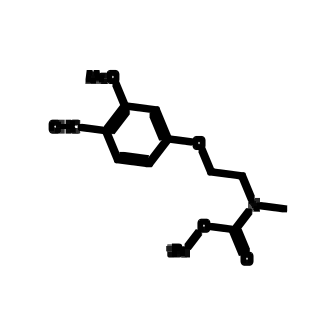 COc1cc(OCCN(C)C(=O)OC(C)(C)C)ccc1C=O